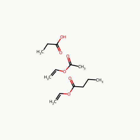 C=COC(=O)CCC.C=COC(C)=O.CCC(=O)O